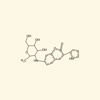 CC1OC(CO)C(O)C(O)C1Nc1ccc2cc(-c3ccc[nH]3)c(=O)oc2c1